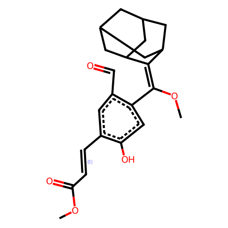 COC(=O)/C=C/c1cc(C=O)c(C(OC)=C2C3CC4CC(C3)CC2C4)cc1O